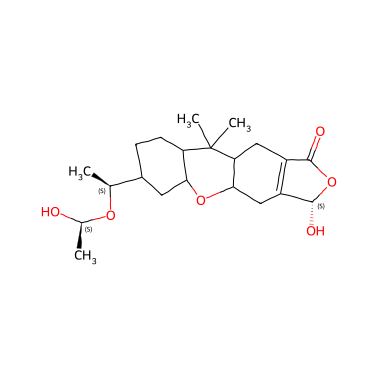 C[C@H](O[C@@H](C)O)C1CCC2C(C1)OC1CC3=C(CC1C2(C)C)C(=O)O[C@@H]3O